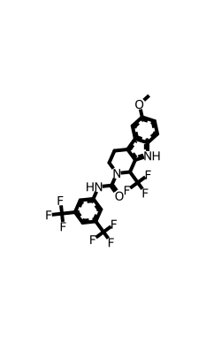 COc1ccc2[nH]c3c(c2c1)CCN(C(=O)Nc1cc(C(F)(F)F)cc(C(F)(F)F)c1)C3C(F)(F)F